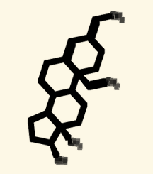 C=C[C@]12CCC(=CC)C=C1CCC1C2CC[C@@]2(C)C1CC[C@@H]2O